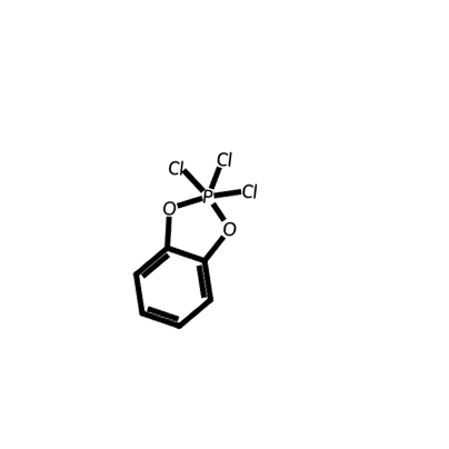 ClP1(Cl)(Cl)Oc2ccccc2O1